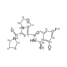 CC[C@@H](NC(=O)c1cc(C(=O)N2CCCC2)n2c1COCC2)c1ccc(F)cc1Cl